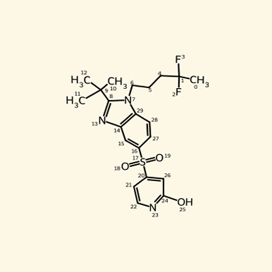 CC(F)(F)CCCn1c(C(C)(C)C)nc2cc(S(=O)(=O)c3ccnc(O)c3)ccc21